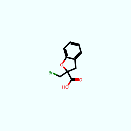 O=C(O)C1(CBr)Cc2ccccc2O1